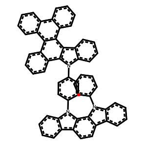 c1ccc(-n2c3ccccc3c3ccc4c5ccccc5n(-c5ccc(-n6c7ccccc7c7c8c9ccccc9c9ccccc9c8c8ccccc8c76)cc5)c4c32)cc1